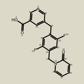 O=C(O)c1cncc(Cc2cc(F)c(Cn3ccccc3=O)cc2F)c1